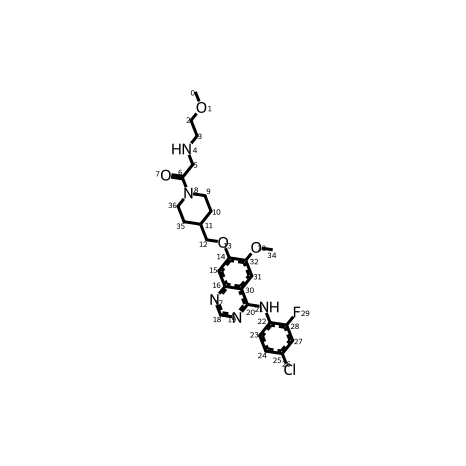 COCCNCC(=O)N1CCC(COc2cc3ncnc(Nc4ccc(Cl)cc4F)c3cc2OC)CC1